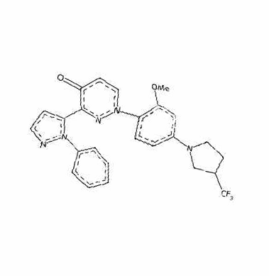 COc1cc(N2CCC(C(F)(F)F)C2)ccc1-n1ccc(=O)c(-c2ccnn2-c2ccccc2)n1